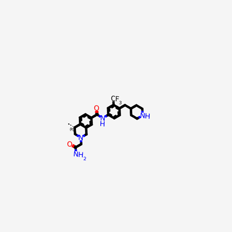 C[C@H]1CN(CC(N)=O)Cc2cc(C(=O)Nc3ccc(CC4CCNCC4)c(C(F)(F)F)c3)ccc21